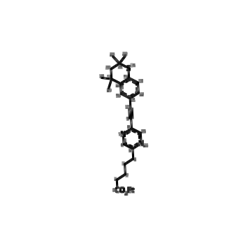 CCOC(=O)CCCCc1cnc(C#Cc2ccc3c(c2)C(C)(C)CC(C)(C)S3)cn1